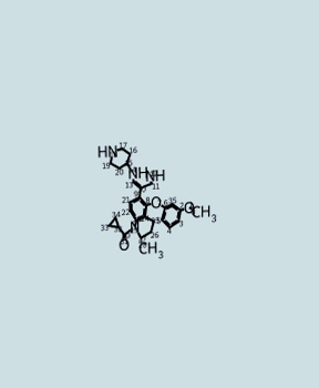 COc1cccc(Oc2c(/C(C=N)=C/NC3CCNCC3)ccc3c2CC[C@H](C)N3C(=O)C2CC2)c1